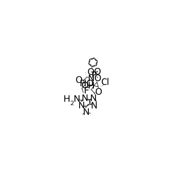 CCOC(=O)[C@H](C)NP(=O)(Oc1ccccc1)O[C@H]1[C@]2(O)[C@@H](F)[C@H](n3cnc4c(N(C)C)nc(N)nc43)O[C@]12CCl